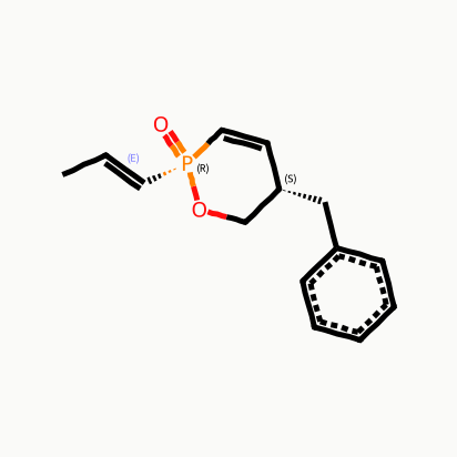 C/C=C/[P@]1(=O)C=C[C@H](Cc2ccccc2)CO1